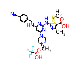 CC[SH]1C(Nc2nc(NCc3ccc(C#N)cc3)cc(N3CCN(C)CC3)n2)=NC(C)=C1C(=O)O.O=C(O)C(F)(F)F